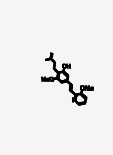 C=C(C)CCc1c(O)cc(C=Cc2ncccc2OC)cc1OC